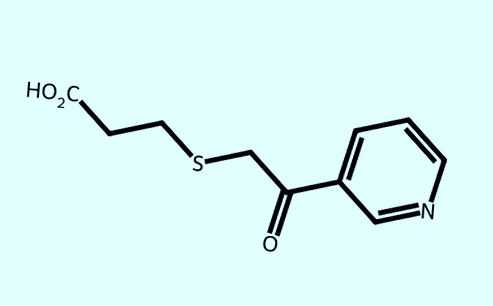 O=C(O)CCSCC(=O)c1cccnc1